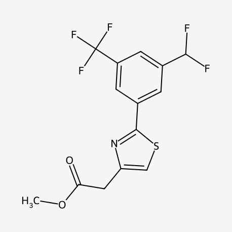 COC(=O)Cc1csc(-c2cc(C(F)F)cc(C(F)(F)F)c2)n1